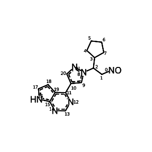 O=NCC(C1CCCC1)n1cc(-c2ncnc3[nH]ccc23)cn1